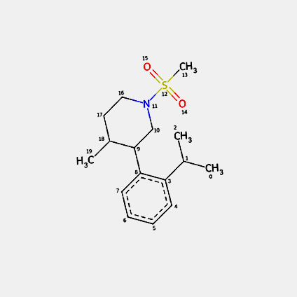 CC(C)c1ccccc1C1CN(S(C)(=O)=O)CCC1C